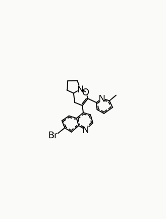 Cc1cccc(C2=C(c3ccnc4cc(Br)ccc34)CC3CCCN3O2)n1